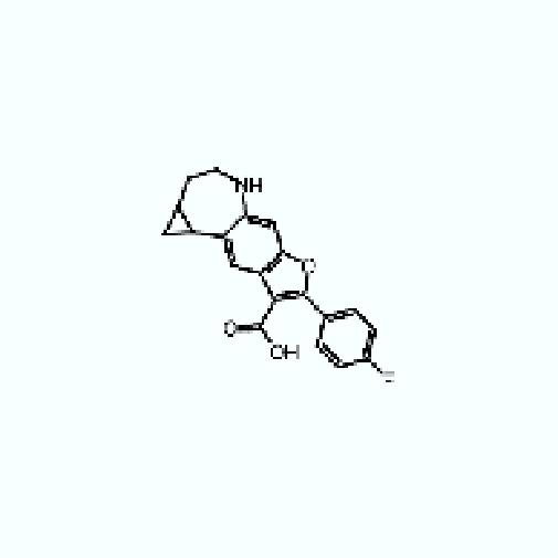 O=C(O)c1c(-c2ccc(F)cc2)oc2cc3c(cc12)C1CC1CCN3